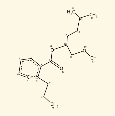 CCCc1ccccc1C(=O)OC(CCC(C)C)COC